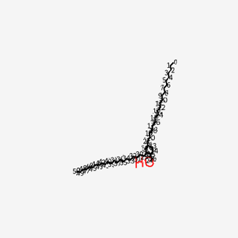 CCCCCCCCCCCCCCCCCCCCCCc1ccc(CO)c(CCCCCCCCCCCCCCCCCCCCCC)c1